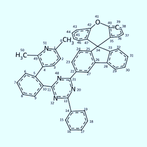 Cc1ccc(-c2ccccc2-c2nc(-c3ccccc3)nc(-c3ccc4c(c3)-c3ccccc3C43c4ccccc4Oc4ccccc43)n2)c(C)n1